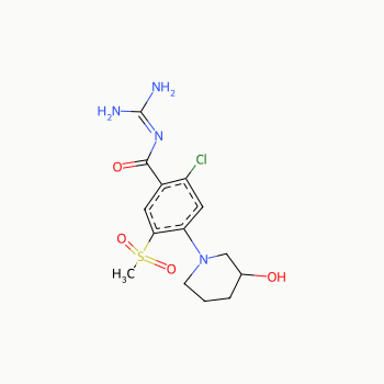 CS(=O)(=O)c1cc(C(=O)N=C(N)N)c(Cl)cc1N1CCCC(O)C1